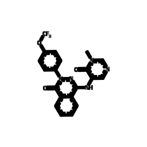 Cn1cncc(Nc2nn(-c3ccc(OC(F)(F)F)cc3)c(=O)c3ccccc23)c1=O